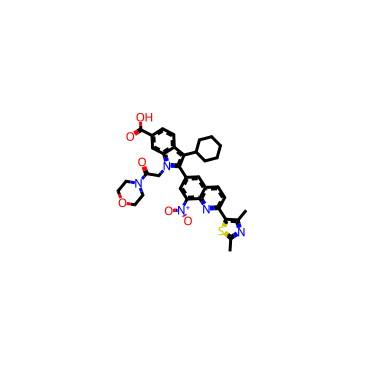 Cc1nc(C)c(-c2ccc3cc(-c4c(C5CCCCC5)c5ccc(C(=O)O)cc5n4CC(=O)N4CCOCC4)cc([N+](=O)[O-])c3n2)s1